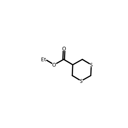 CCOC(=O)C1CSCSC1